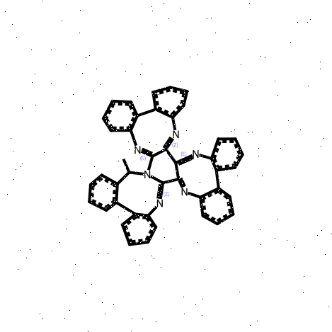 CC1c2ccccc2-c2ccccc2/N=C2/C3=Nc4ccccc4-c4ccccc4/N=C3/C3=N/c4ccccc4-c4ccccc4/N=C\3N21